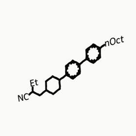 CCCCCCCCc1ccc(-c2ccc(C3CCC(CC(C#N)CC)CC3)cc2)cc1